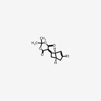 CCC1=C[C@H]2C(=C3C(=O)OC(C)(C)OC3=O)C[C@H]2C1